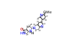 [2H]N1C2=C(C=C(C)C1N1CCc3ncc(-c4ccc(OC)nc4C)cc3C1)C(=O)NC2